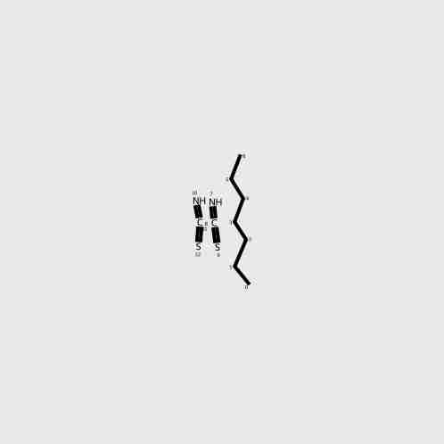 CCCCCCC.N=C=S.N=C=S